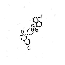 O=C1OCC2C=C(Cl)C=CC2N1C1CCN(S(=O)(=O)c2cccc3c(Cl)cccc23)CC1